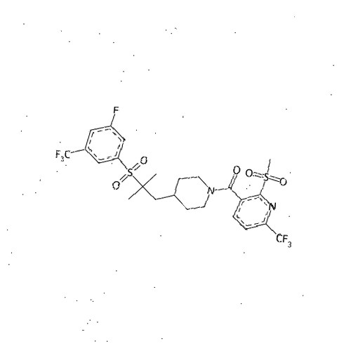 CC(C)(CC1CCN(C(=O)c2ccc(C(F)(F)F)nc2S(C)(=O)=O)CC1)S(=O)(=O)c1cc(F)cc(C(F)(F)F)c1